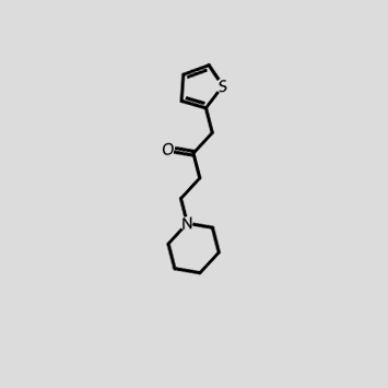 O=C(CCN1CCCCC1)Cc1cccs1